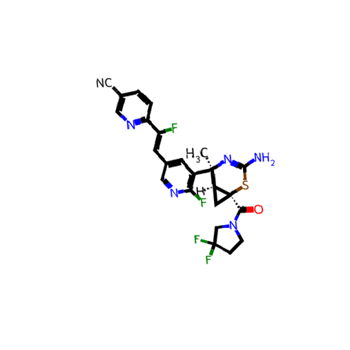 C[C@]1(c2cc(C=C(F)c3ccc(C#N)cn3)cnc2F)N=C(N)S[C@@]2(C(=O)N3CCC(F)(F)C3)C[C@H]21